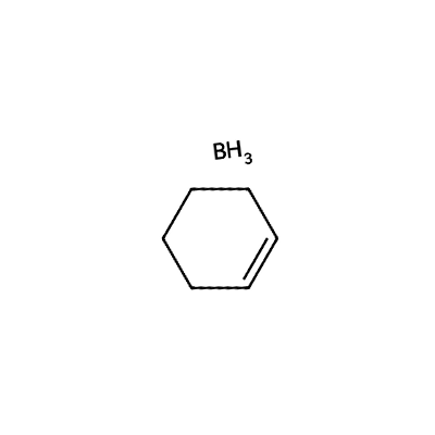 B.C1=CCCCC1